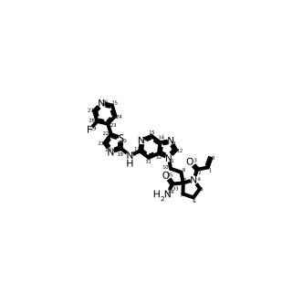 C=CC(=O)N1CCCC1(CCn1cnc2cnc(Nc3ncc(-c4ccncc4F)s3)cc21)C(N)=O